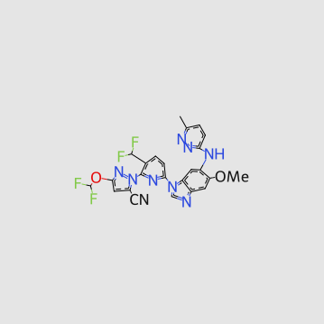 COc1cc2ncn(-c3ccc(C(F)F)c(-n4nc(OC(F)F)cc4C#N)n3)c2cc1Nc1ccc(C)nn1